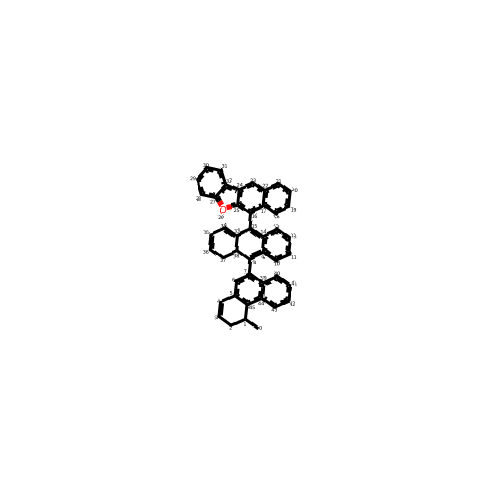 CC1CC=Cc2cc(C3=c4ccccc4=C(c4c5ccccc5cc5c4oc4ccccc45)C4=CC=CCC43)c3ccccc3c21